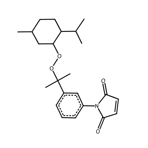 CC1CCC(C(C)C)C(OOC(C)(C)c2cccc(N3C(=O)C=CC3=O)c2)C1